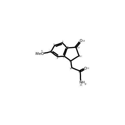 COc1ccc2c(c1)C(CC(N)=O)CC2=O